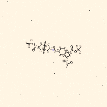 CC(=O)Nc1cn(C(=O)OC(C)(C)C)c2ccc(/C=C/C3C[C@@H]4CN(C(=O)OC(C)(C)C)C[C@@H]4C3)cc12